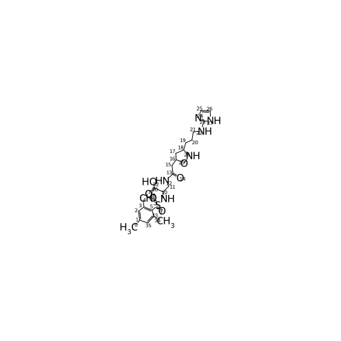 Cc1cc(C)c(S(=O)(=O)NC(CNC(=O)CC2CC(CCCNc3ncc[nH]3)NO2)C(=O)O)c(C)c1